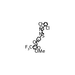 COc1cc(C(F)(F)F)cn(CC(=O)N2CCC(c3nc(C4=NOC(c5c(Cl)cccc5Cl)C4)cs3)CC2)c1=O